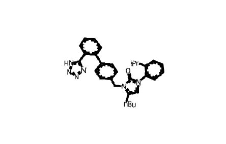 CCCCc1cn(-c2ccccc2C(C)C)c(=O)n1Cc1ccc(-c2ccccc2-c2nnn[nH]2)cc1